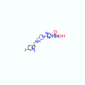 Cn1cc(CNCC2CCN(c3ncc(C(=O)NO)cn3)CC2)c2ccc(F)cc21